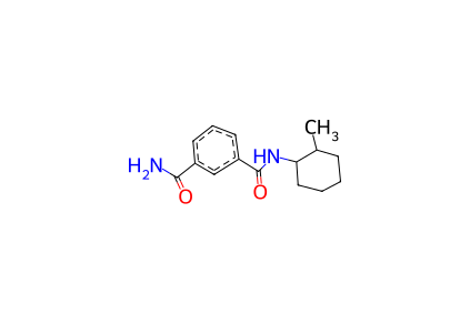 CC1CCCCC1NC(=O)c1cccc(C(N)=O)c1